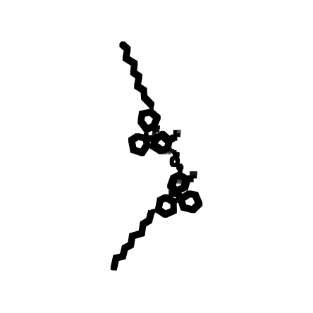 CCCCCCCCCC[C@H]1CC[C@H](C2([C@@]3(F)C=C[C@@H](COC[C@@H]4C=C[C@](F)(C5([C@H]6CC[C@H](CCCCCCCCCC)CC6)CCCCC5)C=C4F)C(F)=C3)CCCCC2)CC1